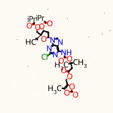 C#C[C@]1(COC(=O)C(C)C)O[C@@H](n2cnc3c(NC(=O)OC(C)(C)CC(=O)OCc4oc(=O)oc4C)nc(Cl)nc32)C[C@@H]1OC(=O)C(C)C